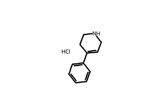 C1=C(c2ccccc2)CCNC1.Cl